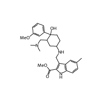 COC(=O)c1[nH]c2ccc(C)cc2c1CNC1CCC(O)(c2cccc(OC)c2)C(CN(C)C)C1